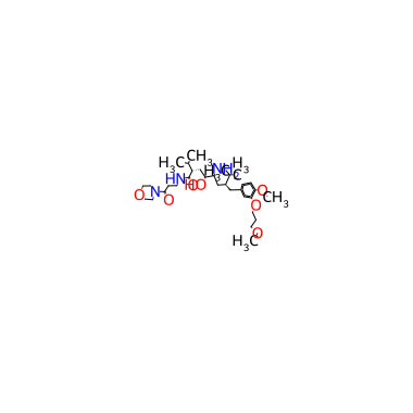 COCCCOc1cc(C[C@@H](C[C@H](N)[C@@H](O)C[C@H](C(=O)NCCC(=O)N2CCOCC2)C(C)C)C(C)C)ccc1OC